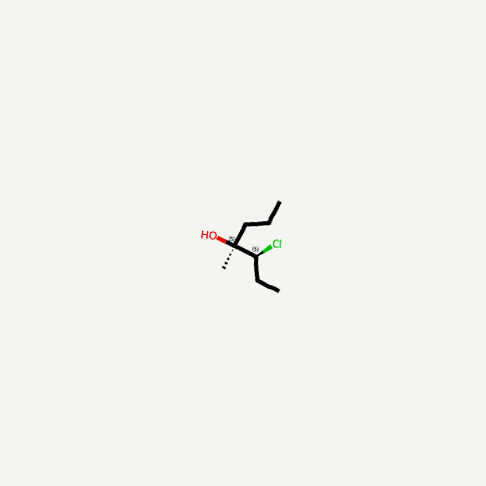 CCC[C@](C)(O)[C@@H](Cl)CC